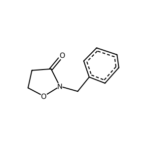 O=C1CCON1Cc1ccccc1